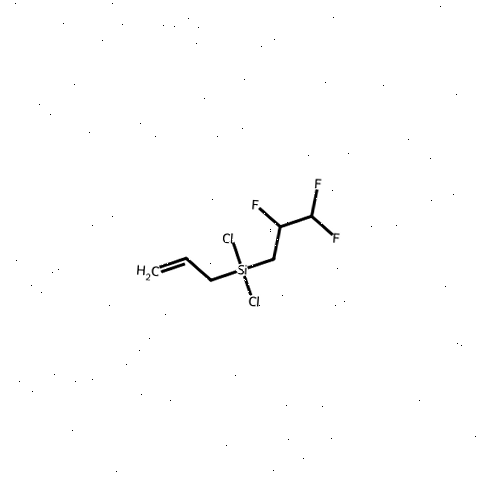 C=CC[Si](Cl)(Cl)CC(F)C(F)F